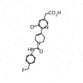 O=C(O)Cc1cnc(C2=CCN(C(=O)Nc3ccc(CF)cc3)CC2)c(Cl)c1